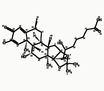 CC1(C)OC2C[C@H]3[C@@H]4C[C@H](F)C5=CC(=O)C(Cl)=C[C@]5(C)[C@@]4(F)[C@@H](O)C[C@]3(C)[C@]2(C(=O)C(O)CCCCC(=O)O)O1